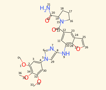 COc1cc(-n2cnc(Nc3cc(C(=O)N4CCCC4C(N)=O)cc4ccoc34)c2)cc(OC)c1OC